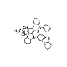 C[Si](C)(C)c1cc2c3c4c1c1ccccc1n4-c1cc4c(cc1B3N(c1ccccc1)c1ccccc1-2)sc1ccccc14